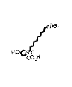 CCCCCCCCCCCCCCCCCCCC(=O)N1CC(O)C[C@H]1C(=O)O